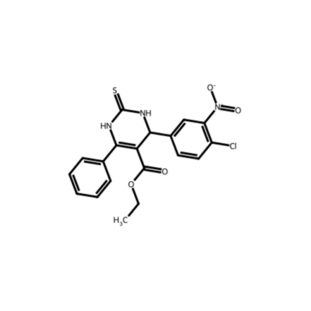 CCOC(=O)C1=C(c2ccccc2)NC(=S)NC1c1ccc(Cl)c([N+](=O)[O-])c1